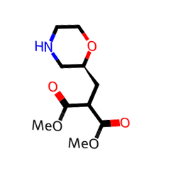 COC(=O)C(C[C@H]1CNCCO1)C(=O)OC